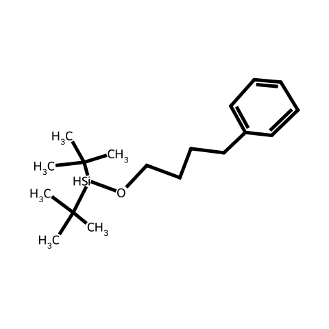 CC(C)(C)[SiH](OCCCCc1ccccc1)C(C)(C)C